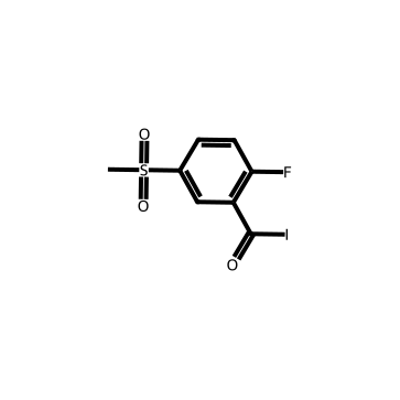 CS(=O)(=O)c1ccc(F)c(C(=O)I)c1